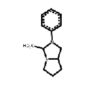 O=C(O)C1N(c2ccccc2)CC2CCCN21